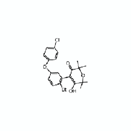 CCc1ccc(Oc2ccc(Cl)cc2)cc1C1=C(O)C(C)(C)OC(C)(C)C1=O